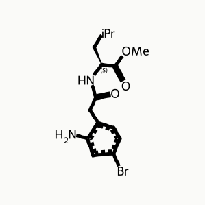 COC(=O)[C@H](CC(C)C)NC(=O)Cc1ccc(Br)cc1N